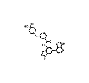 O=C(Nc1cc(-c2ccnc3[nH]ccc23)cc2[nH]ncc12)c1cccc(CN2CCS(O)(O)CC2)n1